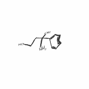 NC(O)(CCO)c1ccccc1